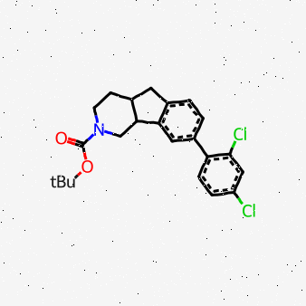 CC(C)(C)OC(=O)N1CCC2Cc3ccc(-c4ccc(Cl)cc4Cl)cc3C2C1